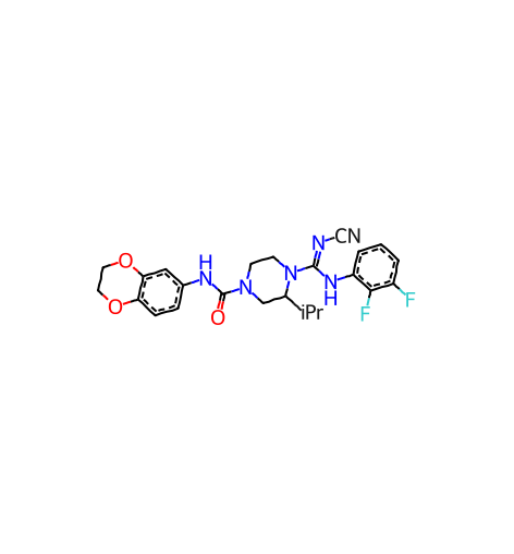 CC(C)C1CN(C(=O)Nc2ccc3c(c2)OCCO3)CCN1/C(=N/C#N)Nc1cccc(F)c1F